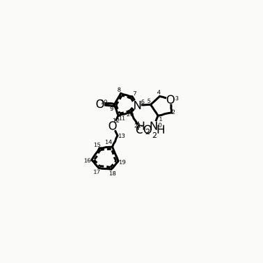 NC1COCC1n1ccc(=O)c(OCc2ccccc2)c1C(=O)O